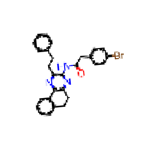 O=C(Cc1ccc(Br)cc1)Nc1nc2c(nc1CCc1ccccc1)-c1ccccc1CC2